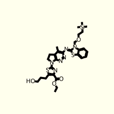 CCOC(=O)c1nc(N2CCc3c2nnc(/N=c2\sc4ccccc4n2COCC[Si](C)(C)C)c3C)sc1CCCO